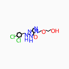 O=c1[nH]c(NCc2ccc(Cl)c(Cl)c2)nc2cnn(CCOCCCO)c12